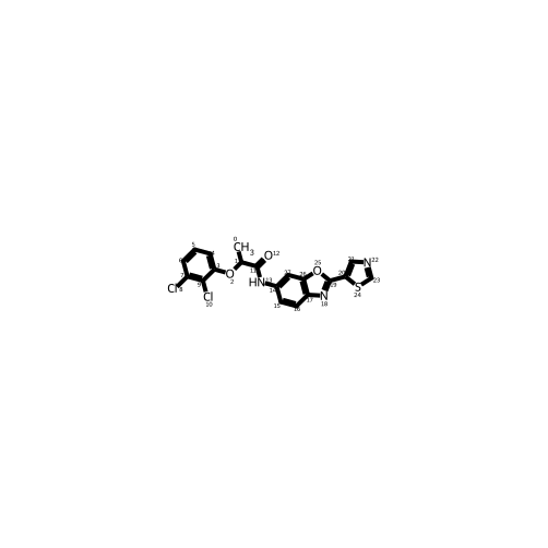 CC(Oc1cccc(Cl)c1Cl)C(=O)Nc1ccc2nc(-c3cncs3)oc2c1